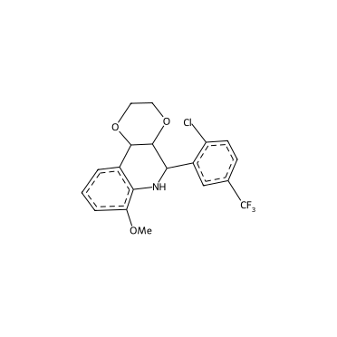 COc1cccc2c1NC(c1cc(C(F)(F)F)ccc1Cl)C1OCCOC21